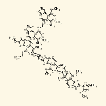 CCCN1CC(C)=C(N)C2=C1N1CN(OC)C=C1C=N2.CCCN1CC(C)=C(N)c2ncc3cncn3c21.CCN1CC(C)=C(N)C2=C1N1CN(OC)C=C1C=N2.CCN1CC(C)=C(N)c2ncc3cncn3c21.CCc1nc(C)cn1N1C=C2C=NC3=C(N(CC)CC(C)=C3N)N2C1